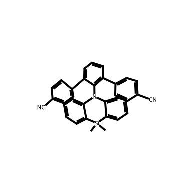 C[Si]1(C)c2ccccc2N(c2c(-c3ccc(C#N)cc3)cccc2-c2ccc(C#N)cc2)c2ccccc21